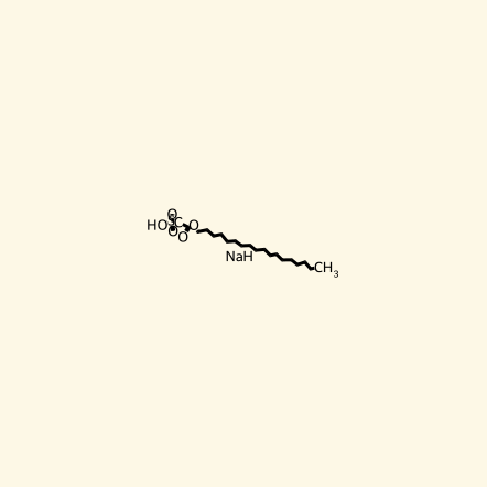 CCCCCCCCCCCCCCCCCCOC(=O)CS(=O)(=O)O.[NaH]